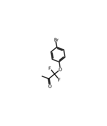 CC(=O)C(F)(F)Oc1ccc(Br)cc1